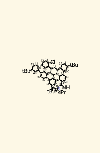 CC(C)/C(=C\C(=N)c1ccc(-c2cc(C(C)(C)C)ccc2C2CC(c3ccccc3Cl)CC(c3ccc(C(C)C)cc3-c3ccc(-c4cc(C(C)(C)C)ccn4)cc3)C2)cc1)C(C)(C)C